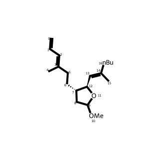 C=C/C=C(\C)CC[C@H]1CC(OC)O[C@@H]1/C=C(\C)CCCC